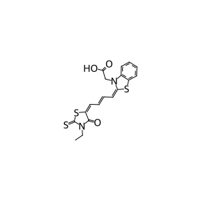 CCN1C(=O)C(=CC=CC=C2Sc3ccccc3N2CC(=O)O)SC1=S